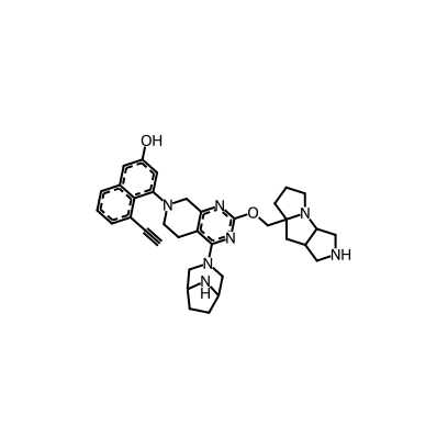 C#Cc1cccc2cc(O)cc(N3CCc4c(nc(OCC56CCCN5C5CNCC5C6)nc4N4CC5CCC(C4)N5)C3)c12